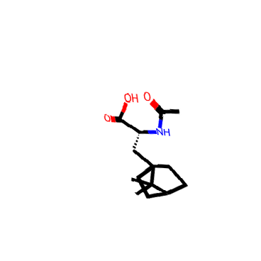 CC(=O)N[C@H](CC12CCC(CC1)C2(C)C)C(=O)O